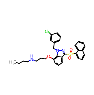 CCCCNCCCOc1cccc2c(S(=O)(=O)c3cccc4ccccc34)nn(Cc3cccc(Cl)c3)c12